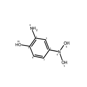 Nc1cc(N(O)O)ccc1O